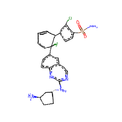 N[C@@H]1CC[C@@H](Nc2ncc3cc(C4(F)C=CC=CC4c4ccc(S(N)(=O)=O)c(Cl)c4)ccc3n2)C1